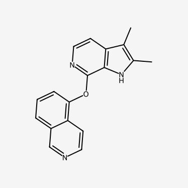 Cc1[nH]c2c(Oc3cccc4cnccc34)nccc2c1C